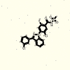 CS(=O)(=O)NC(=O)c1cc(Cl)c(-n2nc(-c3cccc(Cl)c3)c3ccccc32)cc1F